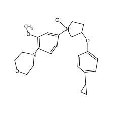 COc1cc([N+]2([O-])CCC(Oc3ccc(C4CC4)cc3)C2)ccc1N1CCOCC1